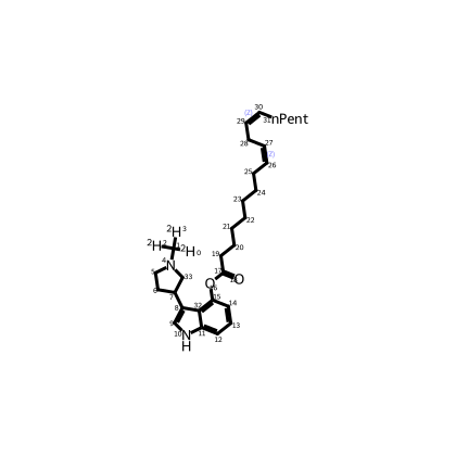 [2H]C([2H])([2H])N1CCC(c2c[nH]c3cccc(OC(=O)CCCCCCC/C=C\C/C=C\CCCCC)c23)C1